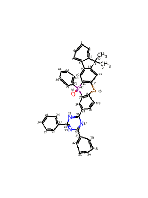 CC1(C)c2ccccc2-c2cc3c(cc21)Sc1ccc(-c2nc(-c4ccccc4)nc(-c4ccccc4)n2)cc1P3(=O)c1ccccc1